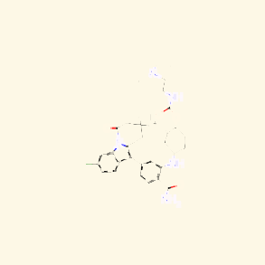 CN(C)CCNC(=O)O[C@H]1CC[C@H](Nc2cc(-c3c4n(c5cc(F)ccc35)C(=O)CC(C)(C)C4)ccc2C(N)=O)CC1